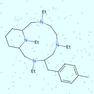 CCN1CCN(CC)CC2CCCC(CN(CC)C(Cc3ccc(C)cc3)C1)N2CC